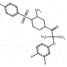 CC1CN(C(=O)C(C)(C)Oc2ccc(F)c(F)c2)CCN1S(=O)(=O)c1ccc(F)cc1